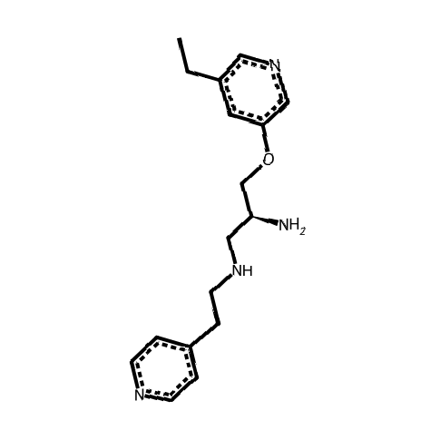 CCc1cncc(OC[C@@H](N)CNCCc2ccncc2)c1